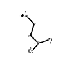 [CH2]CCCCCP(CC)CC